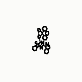 c1ccc2c(c1)Oc1ccccc1C21c2ccccc2-c2ccc(-c3nc(-c4nccc5ccccc45)nc4c3sc3ccccc34)cc21